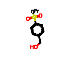 CCCS(=O)(=O)c1ccc(CO)cc1